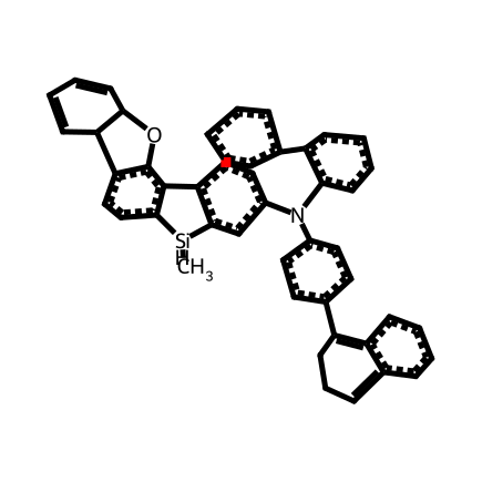 C[SiH]1c2cc(N(c3ccc(C4=c5ccccc5=CCC4)cc3)c3ccccc3-c3ccccc3)ccc2-c2c1ccc1c2OC2C=CC=CC12